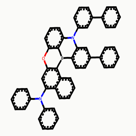 c1ccc(-c2cccc(N3c4cc(-c5ccccc5)ccc4B4c5c(cccc53)Oc3cc(N(c5ccccc5)c5ccccc5)c5ccccc5c34)c2)cc1